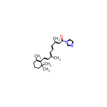 CC(C=CC1=C(C)CCCC1(C)C)=CC=CC(C)=CC(=O)n1ccnc1